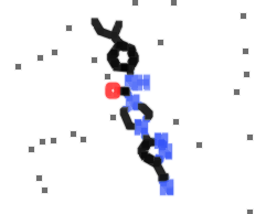 CCC(C)c1ccc(NC(=O)N2CCN(c3ccc(C#N)nn3)CC2)cc1